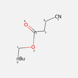 CCCCCOC(=O)CCC#N